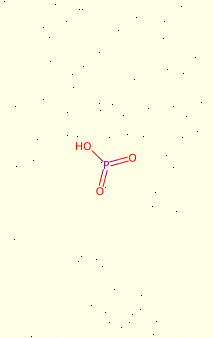 O=P(=O)O